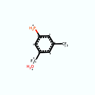 FC(F)(F)c1cc(P)cc(C(F)(F)F)c1.O